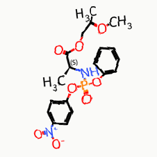 COC(C)COC(=O)[C@H](C)NP(=O)(Oc1ccccc1)Oc1ccc([N+](=O)[O-])cc1